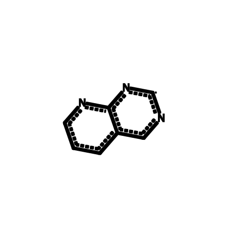 [c]1ncc2cccnc2n1